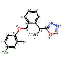 COC(c1nnco1)c1ccccc1COc1ccc(Cl)cc1C